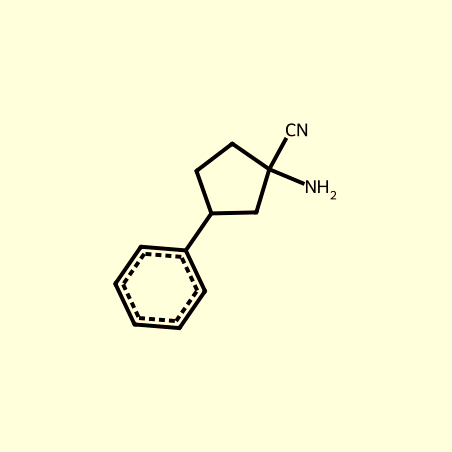 N#CC1(N)CCC(c2ccccc2)C1